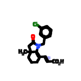 CC12CCCC(/C=C/C(=O)O)=C1N(Cc1cccc(Cl)c1)C(=O)C2